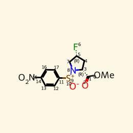 COC(=O)[C@H]1C[C@@H](F)CN1[S+]([O-])c1ccc([N+](=O)[O-])cc1